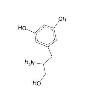 NC(CO)Cc1cc(O)cc(O)c1